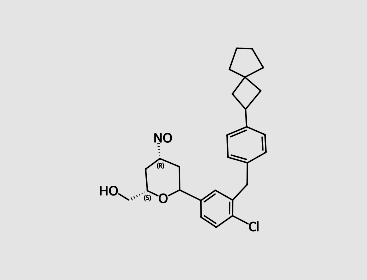 O=N[C@@H]1CC(c2ccc(Cl)c(Cc3ccc(C4CC5(CCCC5)C4)cc3)c2)O[C@H](CO)C1